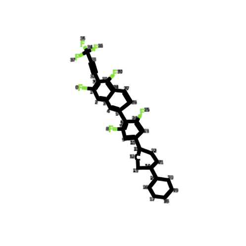 Fc1cc2cc(-c3c(F)cc(C4CCC(C5CCCCC5)CC4)cc3F)ccc2c(F)c1C#CC(F)(F)F